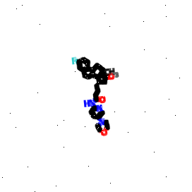 C[C@]12CCC3c4ccc(F)cc4CCC3C1[C@H](CCCC(=O)Nc1ccc(N3CCOCC3)cn1)CC2=O